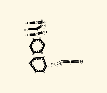 C.C.N=C=O.N=C=O.N=C=O.N=C=O.c1ccccc1.c1ccccc1